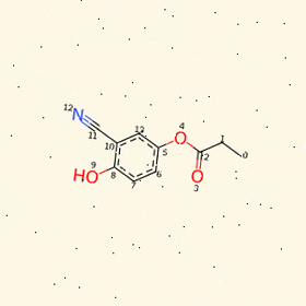 CCC(=O)Oc1ccc(O)c(C#N)c1